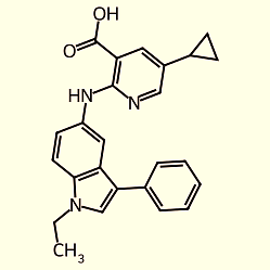 CCn1cc(-c2ccccc2)c2cc(Nc3ncc(C4CC4)cc3C(=O)O)ccc21